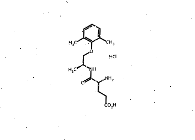 Cc1cccc(C)c1OC[C@H](C)NC(=O)C(N)CCC(=O)O.Cl